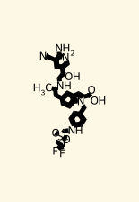 CC(Cc1ccc2c(c1)cc(C(=O)O)n2Cc1ccc(NCS(=O)(=O)CC(F)(F)F)cc1)NCC(O)c1cnc(N)c(C#N)c1